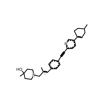 C/C(=C\c1ccc(C#Cc2ccc(C3=CCC(C)CC3)cn2)cc1)CN1CCC(C)(O)CC1